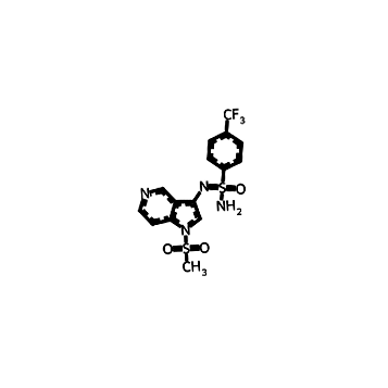 CS(=O)(=O)n1cc(N=S(N)(=O)c2ccc(C(F)(F)F)cc2)c2cnccc21